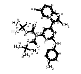 Cc1ccc(Nc2nc(-c3c(C)nc4ccc(F)cn34)cc(N(C(=O)OC(C)(C)C)C(=O)OC(C)(C)C)n2)cc1